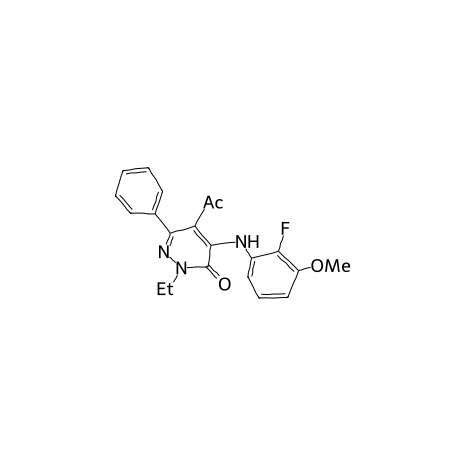 CCn1nc(-c2ccccc2)c(C(C)=O)c(Nc2cccc(OC)c2F)c1=O